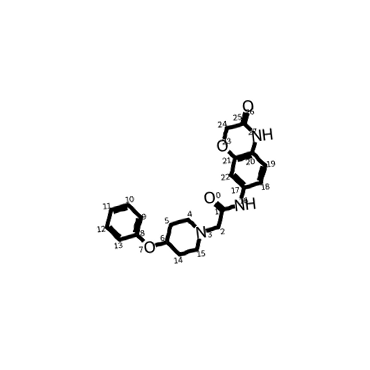 O=C(CN1CCC(Oc2ccccc2)CC1)Nc1ccc2c(c1)OCC(=O)N2